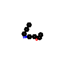 c1ccc(-c2ccc(-c3cccc(Nc4ccc(-c5ccc6c(c5)oc5ccc7ccccc7c56)cc4)c3)cc2)cc1